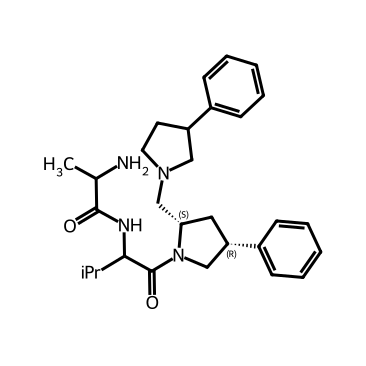 CC(N)C(=O)NC(C(=O)N1C[C@@H](c2ccccc2)C[C@H]1CN1CCC(c2ccccc2)C1)C(C)C